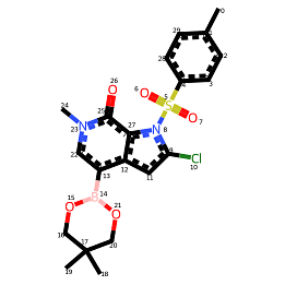 Cc1ccc(S(=O)(=O)n2c(Cl)cc3c(B4OCC(C)(C)CO4)cn(C)c(=O)c32)cc1